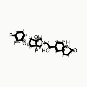 O=C1CCc2cc(C(O)CN3C[C@H]4C[C@H](Oc5cccc(F)c5F)C[C@@]4(O)C3)ccc2N1